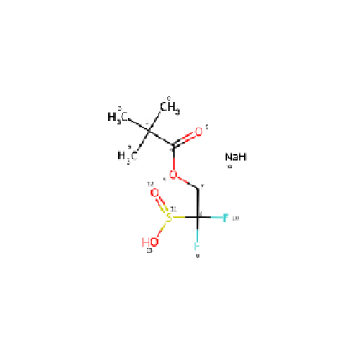 CC(C)(C)C(=O)OCC(F)(F)S(=O)O.[NaH]